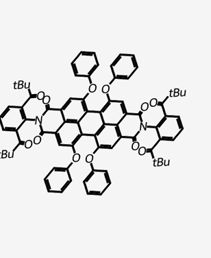 CC(C)(C)C(=O)c1cccc(C(=O)C(C)(C)C)c1N1C(=O)c2cc(Oc3ccccc3)c3c4c(Oc5ccccc5)cc5c6c(cc(Oc7ccccc7)c(c7c(Oc8ccccc8)cc(c2c37)C1=O)c64)C(=O)N(c1c(C(=O)C(C)(C)C)cccc1C(=O)C(C)(C)C)C5=O